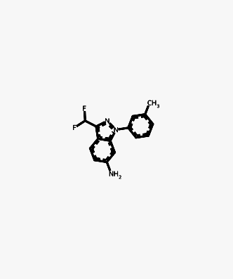 Cc1cccc(-n2nc(C(F)F)c3ccc(N)cc32)c1